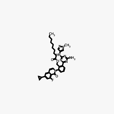 CCCCCCCCCC(=O)OCc1c(-c2nc(N)nc(Nc3cnn(C)c3)n2)cccc1-n1ccc2cc(C3CC3)cc(F)c2c1=O